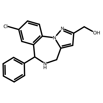 OCc1cc2n(n1)-c1ccc(Cl)cc1C(c1ccccc1)NC2